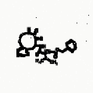 CC(C)C(NC(=O)OCc1ccccc1)C(=O)NC1Cc2ncncc2CCCNC(=O)C1=O